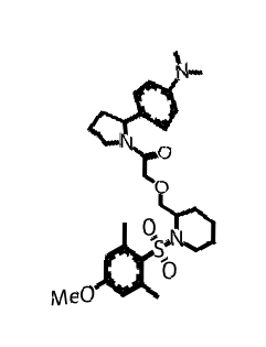 COc1cc(C)c(S(=O)(=O)N2CCCCC2COCC(=O)N2CCCC2c2ccc(N(C)C)cc2)c(C)c1